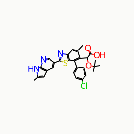 Cc1cc2cc(-c3nc4cc(C)c(C(OC(C)(C)C)C(=O)O)c(-c5ccc(Cl)cc5)c4s3)cnc2[nH]1